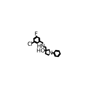 OC1(CNCc2cc(F)cc(Cl)c2)CCN(c2ccccc2)C1